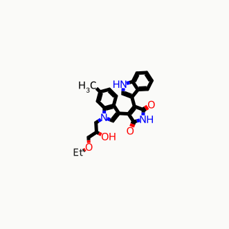 CCOCC(O)Cn1cc(C2=C(c3c[nH]c4ccccc34)C(=O)NC2=O)c2ccc(C)cc21